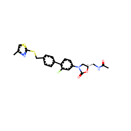 CC(=O)NC[C@H]1CN(c2ccc(-c3ccc(CSc4nc(C)cs4)cc3)c(F)c2)C(=O)O1